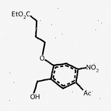 CCOC(=O)CCCOc1cc([N+](=O)[O-])c(C(C)=O)cc1CO